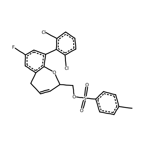 Cc1ccc(S(=O)(=O)OCC2C=CCc3cc(F)cc(-c4c(Cl)cccc4Cl)c3O2)cc1